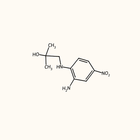 CC(C)(O)CNc1ccc([N+](=O)[O-])cc1N